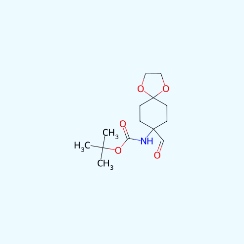 CC(C)(C)OC(=O)NC1(C=O)CCC2(CC1)OCCO2